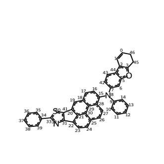 C1=Cc2c(oc3cc(N(c4ccccc4)c4ccc5cc6c7c(ccc8ccc4c5c87)-c4nc(-c5ccccc5)sc4-6)ccc23)CC1